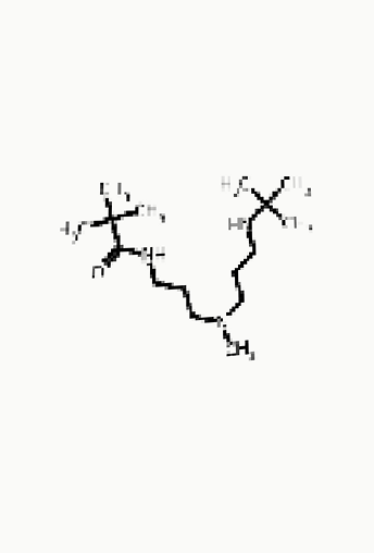 CN(CCCNC(=O)C(C)(C)C)CCCNC(C)(C)C